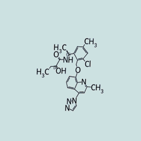 CC[C@H](O)C(=O)N[C@@H](C)c1cc(C)cc(Cl)c1COc1cccc2c(-n3ccnn3)cc(C)nc12